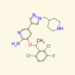 CC(Oc1cc(-c2cnn(CC3CCNCC3)c2)cnc1N)c1c(Cl)ccc(F)c1Cl